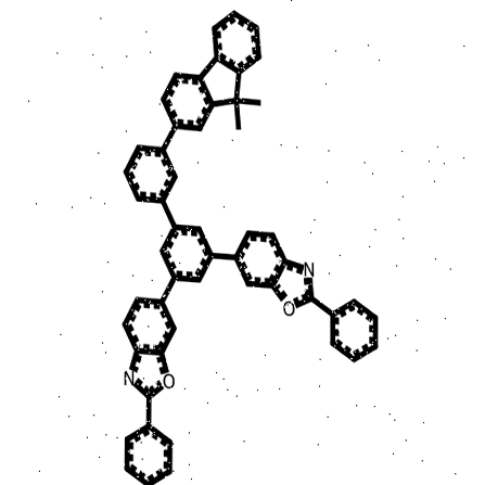 CC1(C)c2ccccc2-c2ccc(-c3cccc(-c4cc(-c5ccc6nc(-c7ccccc7)oc6c5)cc(-c5ccc6nc(-c7ccccc7)oc6c5)c4)c3)cc21